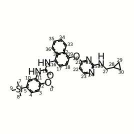 COc1ccc([Si](C)(C)C)cc1NC(=O)Nc1ccc(Oc2ccnc(NCC3CC3)n2)c2ccccc12